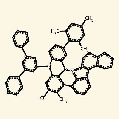 Cc1cc(C)c(-c2ccc3c(c2)B2c4c(cc(Cl)c(C)c4-c4cccc5c6c7ccccc7ccc6n2c45)N3c2cc(-c3ccccc3)cc(-c3ccccc3)c2)c(C)c1